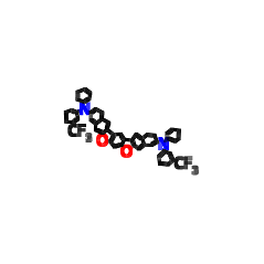 FC(F)(F)c1cccc(N(c2ccccc2)c2ccc3cc4c(cc3c2)oc2cc3oc5cc6cc(N(c7ccccc7)c7cccc(C(F)(F)F)c7)ccc6cc5c3cc24)c1